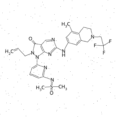 C=CCn1c(=O)c2cnc(Nc3cc(C)c4c(c3)CN(CC(F)(F)F)CC4)nc2n1-c1cccc(N=S(C)(C)=O)n1